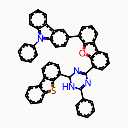 c1ccc(C2=NC(c3cccc4c3oc3c(-c5ccc6c(c5)c5ccccc5n6-c5ccccc5)cccc34)=NC(c3cccc4c3sc3ccccc34)N2)cc1